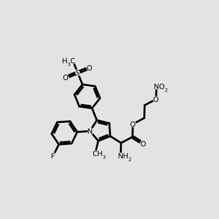 Cc1c(C(N)C(=O)OCCO[N+](=O)[O-])cc(-c2ccc(S(C)(=O)=O)cc2)n1-c1cccc(F)c1